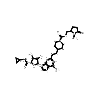 CN1C(=O)CCC1COC(=O)N1CCC(CCc2nc(N)c3ncn([C@@H]4O[C@H](C(=O)NC5CC5)C(O)C4O)c3n2)CC1